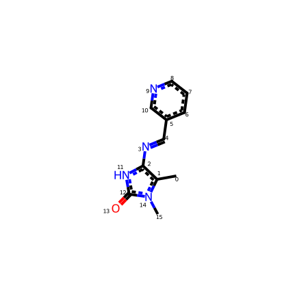 Cc1c(N=Cc2cccnc2)[nH]c(=O)n1C